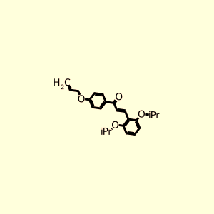 C=CCOc1ccc(C(=O)/C=C/c2c(OC(C)C)cccc2OC(C)C)cc1